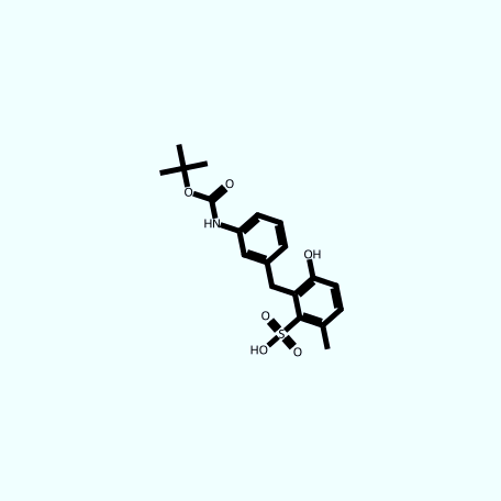 Cc1ccc(O)c(Cc2cccc(NC(=O)OC(C)(C)C)c2)c1S(=O)(=O)O